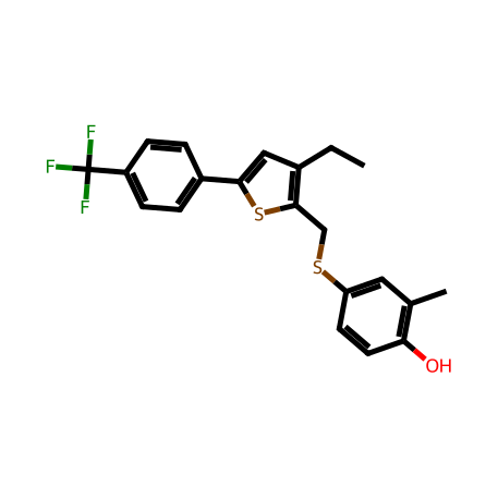 CCc1cc(-c2ccc(C(F)(F)F)cc2)sc1CSc1ccc(O)c(C)c1